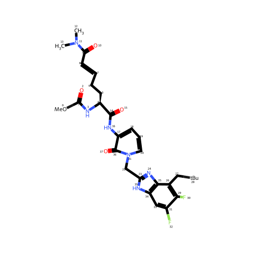 COC(=O)N[C@@H](CC/C=C/C(=O)N(C)C)C(=O)Nc1cccn(Cc2nc3c(CC(C)(C)C)c(F)c(F)cc3[nH]2)c1=O